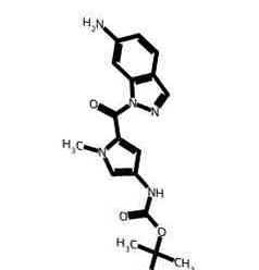 Cn1cc(NC(=O)OC(C)(C)C)cc1C(=O)n1ncc2ccc(N)cc21